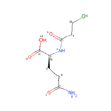 NC(=O)CC[C@H](NC(=O)CCCl)C(=O)O